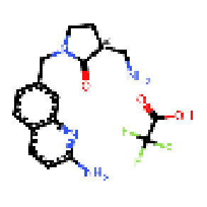 NC[C@@H]1CCN(Cc2ccc3ccc(N)nc3c2)C1=O.O=C(O)C(F)(F)F